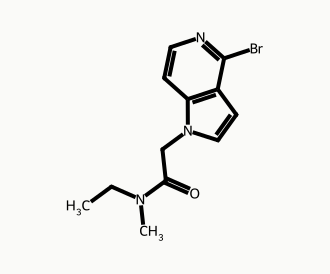 CCN(C)C(=O)Cn1ccc2c(Br)nccc21